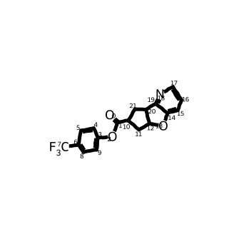 O=C(Oc1ccc(C(F)(F)F)cc1)C1CC2Oc3cccnc3C2C1